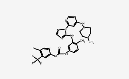 Cc1ccc(NC(=O)Nc2ccc(F)c(C(F)(F)F)c2)cc1Nc1ncnn1-c1cc(NN2CCN(C)CC2)ncn1